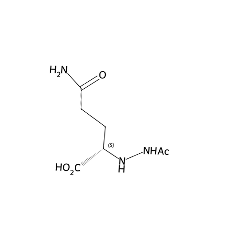 CC(=O)NN[C@@H](CCC(N)=O)C(=O)O